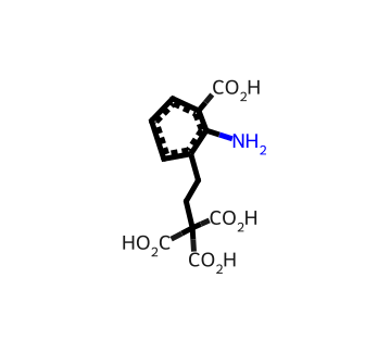 Nc1c(CCC(C(=O)O)(C(=O)O)C(=O)O)cccc1C(=O)O